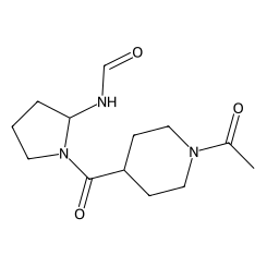 CC(=O)N1CCC(C(=O)N2CCCC2NC=O)CC1